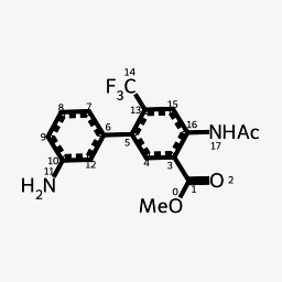 COC(=O)c1cc(-c2cccc(N)c2)c(C(F)(F)F)cc1NC(C)=O